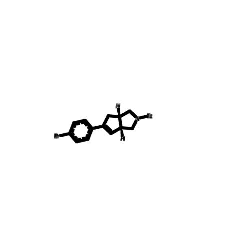 CCN1C[C@H]2CC(c3ccc(Br)cc3)=C[C@H]2C1